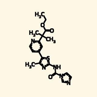 CCOC(=O)C(C)(C)c1cc(-c2sc(NC(=O)n3ccnc3)nc2C)ccn1